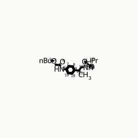 CCCCOCC(=O)Nc1ccc(C(C)CNS(=O)(=O)C(C)C)cc1